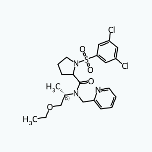 CCOC[C@H](C)N(Cc1ccccn1)C(=O)C1CCCN1S(=O)(=O)c1cc(Cl)cc(Cl)c1